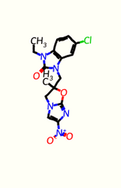 CCn1c(=O)n(CC2(C)Cn3cc([N+](=O)[O-])nc3O2)c2cc(Cl)ccc21